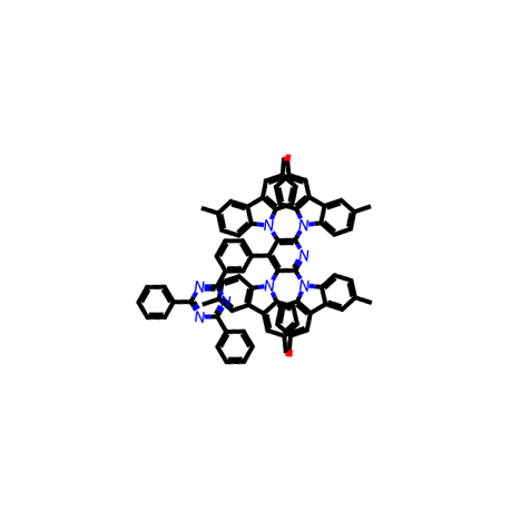 Cc1ccc2c(c1)c1cc(C)ccc1n2-c1nc(-n2c3ccc(C)cc3c3cc(C)ccc32)c(-n2c3ccc(C)cc3c3cc(C)ccc32)c(-c2cccc(-c3nc(-c4ccccc4)nc(-c4ccccc4)n3)c2)c1-n1c2ccc(C)cc2c2cc(C)ccc21